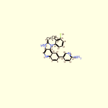 C=C1Nc2cnc3ccc(-c4ccc(N)nc4)cc3c2N1c1cccc(F)c1C